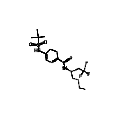 CCCCC(CC(F)(F)F)NC(=O)C1=CC=C(NS(=O)(=O)C(C)(C)C)CC1